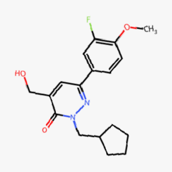 COc1ccc(-c2cc(CO)c(=O)n(CC3CCCC3)n2)cc1F